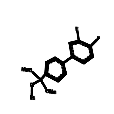 CCO[Si](OC)(OC)c1ccc(-c2ccc(F)c(F)c2)cc1